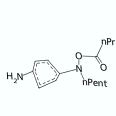 CCCCCN(OC(=O)CCC)c1ccc(N)cc1